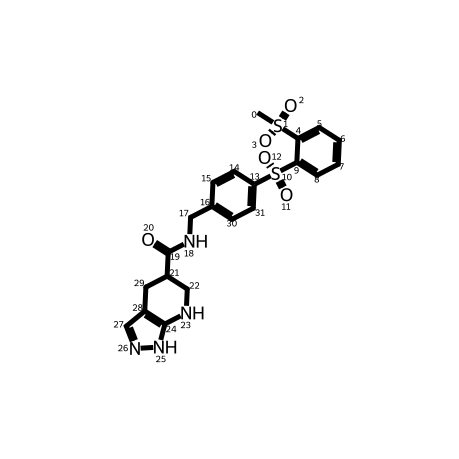 CS(=O)(=O)c1ccccc1S(=O)(=O)c1ccc(CNC(=O)C2CNc3[nH]ncc3C2)cc1